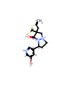 C=CCC1(C(F)F)CN2CCC(c3cncc(Br)c3)N2C1=O